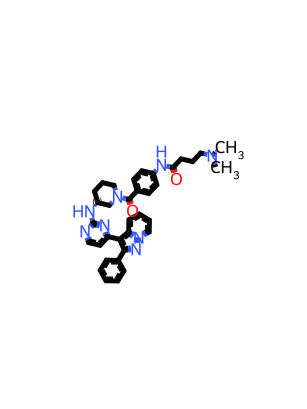 CN(C)CCCC(=O)Nc1ccc(C(=O)N2CCC[C@H](Nc3nccc(-c4c(-c5ccccc5)nn5ccccc45)n3)C2)cc1